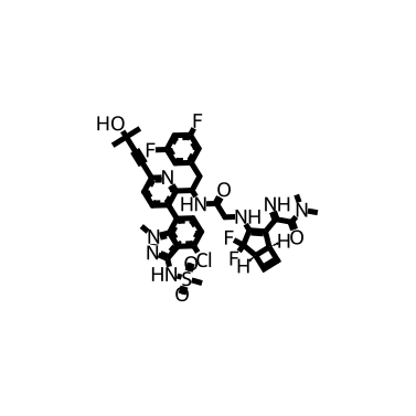 CN(C)C(=O)C(=N)C1=C(NCC(=O)NC(Cc2cc(F)cc(F)c2)c2nc(C#CC(C)(C)O)ccc2-c2ccc(Cl)c3c(NS(C)(=O)=O)nn(C)c23)C(F)(F)[C@@H]2C=C[C@H]12